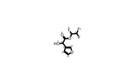 O=C(OC(F)C(F)F)C(O)c1ccoc1